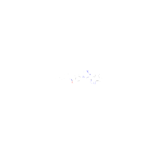 COCCC1CCCN(C(=O)c2ccc(N/C=C(\N=N)c3n[nH]c4ccccc34)cc2)C1